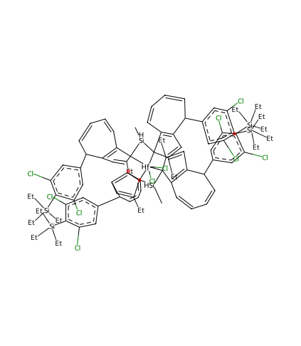 CCC1=CC2=C(C=CC=CC2c2cc(Cl)c([Si](CC)(CC)CC)c(Cl)c2)[C]12[SiH](C)[C]1(C(CC)=CC3=C1C=CC=CC3c1cc(Cl)c([Si](CC)(CC)CC)c(Cl)c1)[Hf]21([Cl])([Cl])[C]2(C(CC)=CC3=C2C=CC=CC3c2cc(Cl)c([Si](CC)(CC)CC)c(Cl)c2)[SiH](C)[C]12C(CC)=CC1=C2C=CC=CC1c1cc(Cl)c([Si](CC)(CC)CC)c(Cl)c1